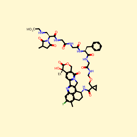 CC[C@@]1(O)C(=O)OCc2c1cc1n(c2=O)Cc2c-1nc1cc(F)c(C)c3c1c2[C@@H](NC(=O)C1(COCNC(=O)CNC(=O)[C@H](Cc2ccccc2)NC(=O)CNC(=O)CNC(=O)[C@H](CNCC(=O)O)N2C(=O)CC(C)C2=O)CC1)CC3